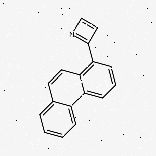 C1=CC(c2cccc3c2ccc2ccccc23)=N1